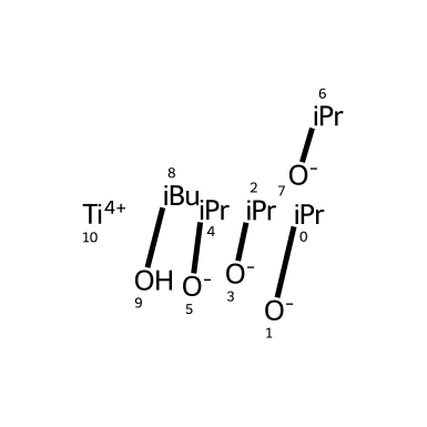 CC(C)[O-].CC(C)[O-].CC(C)[O-].CC(C)[O-].CCC(C)O.[Ti+4]